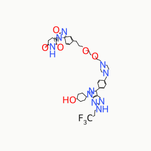 Cn1c(=O)n([C@H]2CCC(=O)NC2=O)c2ccc(CCCOCCOCCN3CCN(Cc4ccc(-c5nn([C@H]6CC[C@H](O)CC6)c6nc(NCCC(F)(F)F)ncc56)cc4)CC3)cc21